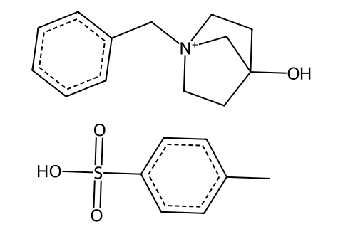 Cc1ccc(S(=O)(=O)O)cc1.OC12CC[N+](Cc3ccccc3)(CC1)C2